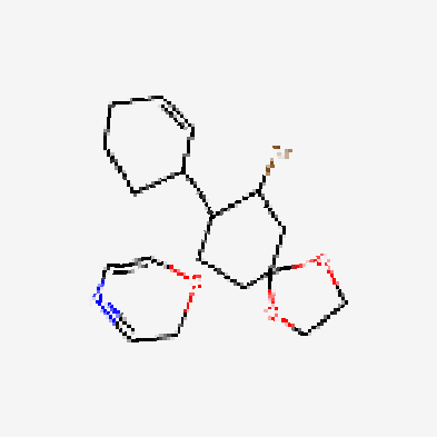 BrC1CC2(CCC1C1C=CCCC1)OCCO2.C1=COCC=N1